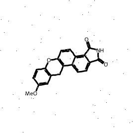 COc1ccc2c(c1)Cc1c(ccc3c4c(ccc13)C(=O)NC4=O)O2